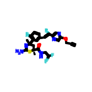 C#CCOc1cnc(/C(F)=C/c2ccc(F)c([C@]3(C)C[C@@](C)(C(=O)NCC(F)F)SC(N)=N3)c2)cn1